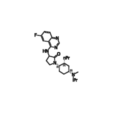 CCC[C@@H]1C[C@H](N(C)C(C)C)CC[C@@H]1N1CCC(Nc2ncnc3ccc(F)cc23)C1=O